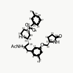 CC(=O)N[C@@H](Cc1cc(F)cc(OC[C@H]2CCC(=O)N2)c1)C[C@H]1CN(S(=O)(=O)c2cccc(C)c2)CCN1